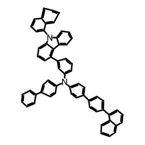 c1ccc(-c2ccc(N(c3ccc(-c4ccc(-c5cccc6ccccc56)cc4)cc3)c3cccc(-c4cccc5c4c4ccccc4n5-c4cccc5ccccc45)c3)cc2)cc1